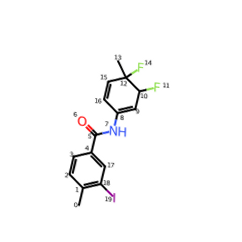 Cc1ccc(C(=O)NC2=CC(F)C(C)(F)C=C2)cc1I